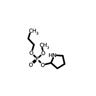 CCCOP(=O)(OC)OC1CCCN1